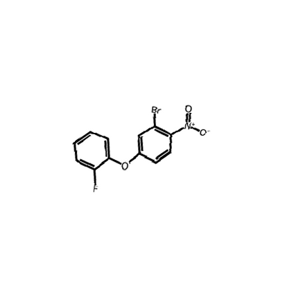 O=[N+]([O-])c1ccc(Oc2ccccc2F)cc1Br